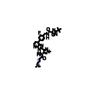 CN(C)C/C=C/C(=O)Nc1cn(C)nc1-c1nc2c(-c3ccc(CNC(=O)c4nc(C(C)(C)C)no4)c(F)c3)ccnc2[nH]1